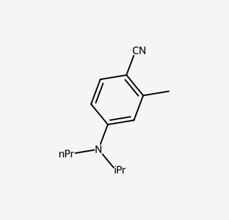 CCCN(c1ccc(C#N)c(C)c1)C(C)C